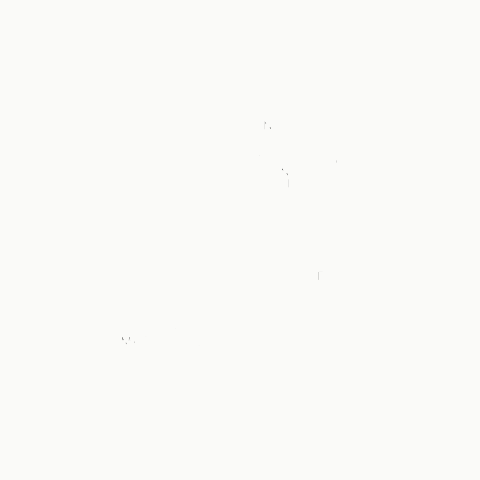 COC(=O)c1ccc(C=C(Cc2ncc(C)[nH]2)c2ccc(F)cc2)cc1-c1ccccc1